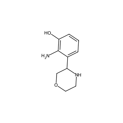 Nc1c(O)cccc1C1COCCN1